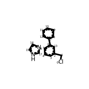 ClCc1cccc(-c2ccccc2)c1.c1c[nH]cn1